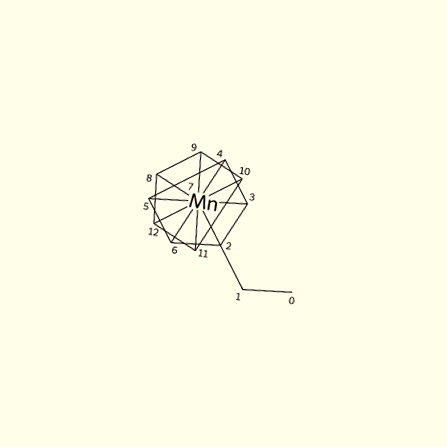 CC[C]12[CH]3[CH]4[CH]5[CH]1[Mn]45321678[CH]2[CH]1[CH]6[CH]7[CH]28